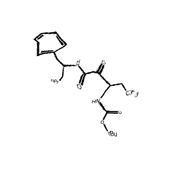 CCC[C@H](NC(=O)C(=O)C(CC(F)(F)F)NC(=O)OC(C)(C)C)c1ccccc1